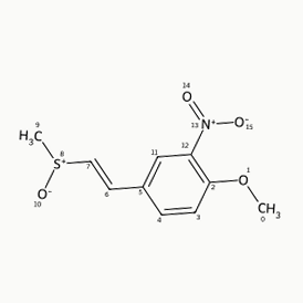 COc1ccc(/C=C/[S+](C)[O-])cc1[N+](=O)[O-]